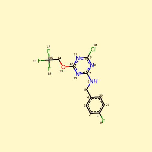 Fc1ccc(CNc2nc(Cl)nc(OCC(F)(F)F)n2)cc1